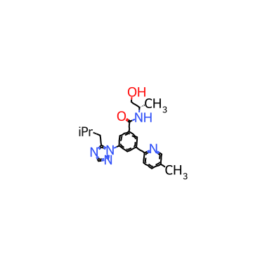 Cc1ccc(-c2cc(C(=O)N[C@@H](C)CO)cc(-n3ncnc3CC(C)C)c2)nc1